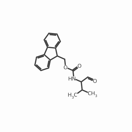 CC(C)C(C=O)NC(=O)OCC1c2ccccc2-c2ccccc21